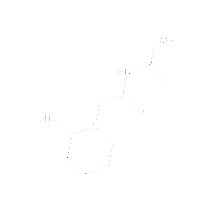 COC(=O)NC(=O)CN1CCCCC1C=O